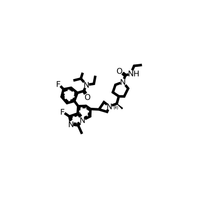 CCNC(=O)N1CCC([C@@H](C)N2CC(c3cc(-c4ccc(F)cc4C(=O)N(CC)C(C)C)c4c(F)nc(C)n4c3)C2)CC1